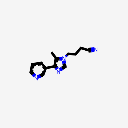 Cc1c(-c2cccnc2)ncn1CCCC#N